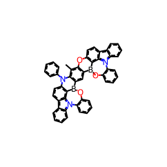 Cc1c2c(cc3c1N(c1ccccc1)c1ccc4c5ccccc5n5c4c1B3Oc1ccccc1-5)B1Oc3ccccc3-n3c4ccccc4c4ccc(c1c43)O2